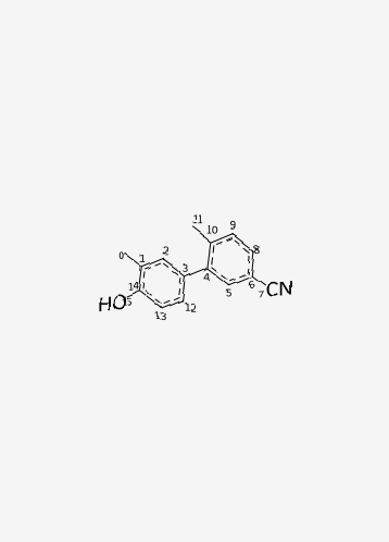 Cc1cc(-c2cc(C#N)ccc2C)ccc1O